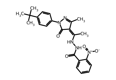 CC1=NN(c2ccc(C(C)(C)C)cc2)C(=O)/C1=C(/C)NNC(=O)c1ccccc1[N+](=O)[O-]